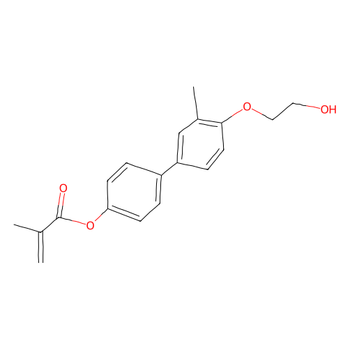 C=C(C)C(=O)Oc1ccc(-c2ccc(OCCO)c(C)c2)cc1